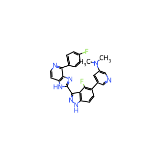 CN(C)c1cncc(-c2ccc3[nH]nc(-c4nc5c(-c6ccc(F)cc6)nccc5[nH]4)c3c2F)c1